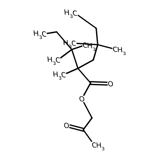 CCC(C)(C)CC(C)(C(=O)OCC(C)=O)C(C)(C)CC